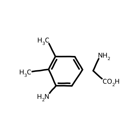 Cc1cccc(N)c1C.NCC(=O)O